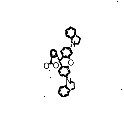 O=C1OC2(c3ccc(N4CCc5ccccc54)cc3Oc3cc(N4CCc5ccccc54)ccc32)c2ccccc21